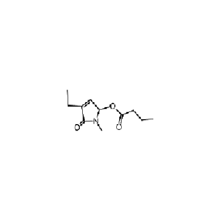 CCCC(=O)OC1C=C(CC)C(=O)N1C